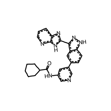 O=C(Nc1cncc(-c2ccc3[nH]nc(-c4nc5cccnc5[nH]4)c3c2)c1)C1CCCCC1